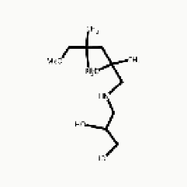 COCC(C)(C)CC(C)(C)CNCC(O)CO